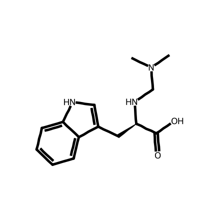 CN(C)CN[C@H](Cc1c[nH]c2ccccc12)C(=O)O